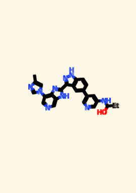 CCC(O)Nc1cncc(-c2ccc3[nH]nc(-c4nc5c(-n6cnc(C)c6)cncc5[nH]4)c3c2)c1